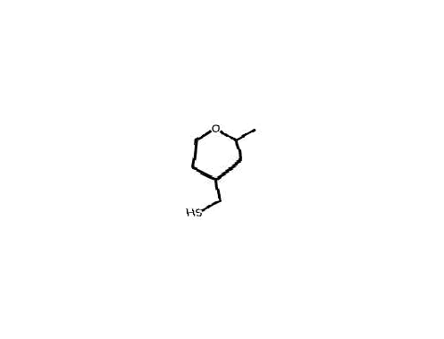 CC1CC(CS)CCO1